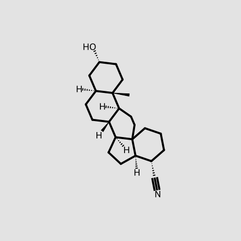 C[C@]12CC[C@@H](O)C[C@@H]1CC[C@H]1[C@@H]3CC[C@@H]4[C@@H](C#N)CCCC43CC[C@@H]12